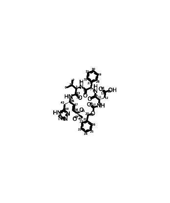 CC(C)[C@@H](NC(=O)[C@@H](NC(=O)[C@H](CC(=O)O)NC(=O)OCc1ccccc1)c1ccccc1)C(=O)N[C@H](/C=C/S(C)(=O)=O)Cc1nnn[nH]1